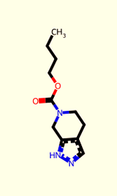 CCCCOC(=O)N1CCc2cn[nH]c2C1